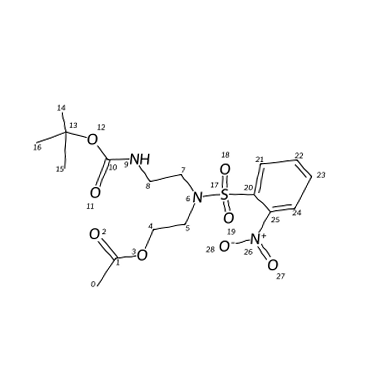 CC(=O)OCCN(CCNC(=O)OC(C)(C)C)S(=O)(=O)c1ccccc1[N+](=O)[O-]